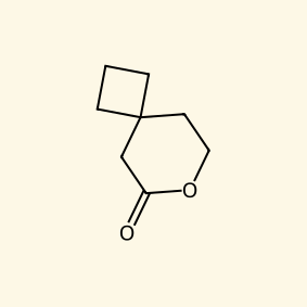 O=C1CC2(CCC2)CCO1